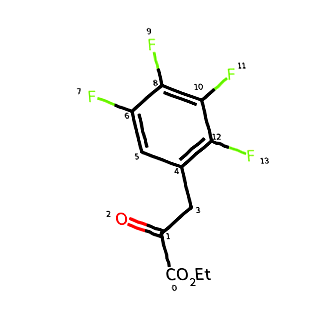 CCOC(=O)C(=O)Cc1cc(F)c(F)c(F)c1F